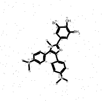 Bc1cc(-c2nc(-c3ccc(N(C)C)cc3)c(-c3ccc(N(C)C)cc3)n2C)cc(Br)c1O